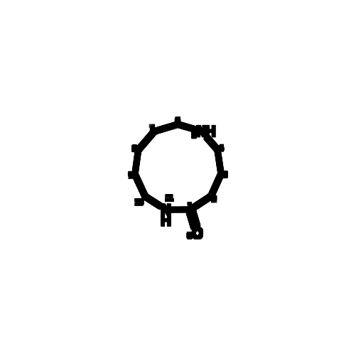 O=C1CCCNCCCCCN1